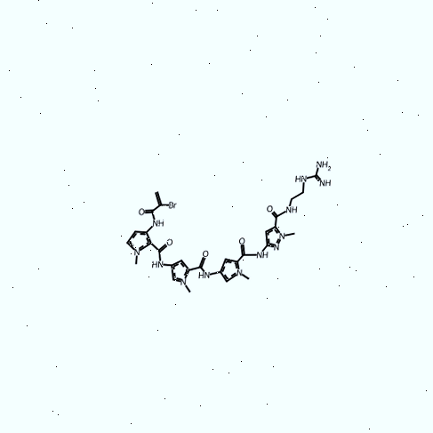 C=C(Br)C(=O)Nc1ccn(C)c1C(=O)Nc1cc(C(=O)Nc2cc(C(=O)Nc3cc(C(=O)NCCNC(=N)N)n(C)n3)n(C)c2)n(C)c1